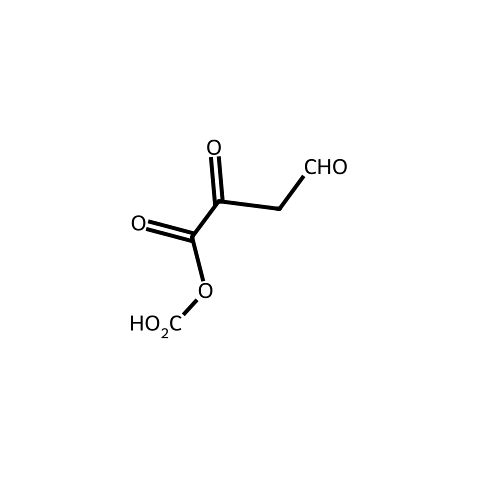 O=CCC(=O)C(=O)OC(=O)O